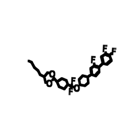 CCCCCC1COC(C2CCC(C(F)(F)OC3CCC(c4ccc(-c5ccc(F)c(F)c5)c(F)c4)CC3)CC2)OC1